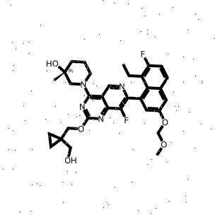 CCc1c(F)ccc2cc(OCOC)cc(-c3ncc4c(N5CCC[C@@](C)(O)C5)nc(OCC5(CO)CC5)nc4c3F)c12